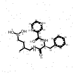 CC(CCB(O)O)CNC(=O)[C@H](Cc1ccccc1)NC(=O)c1cnccn1